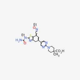 CCON=C=C1C=C(c2cnc(N3CCC(C)(C(=O)O)CC3)nc2)Cc2nc(N(CC)C(N)=O)sc21